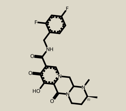 C[C@H]1CCN2C(=O)c3c(O)c(=O)c(C(=O)NCc4ccc(F)cc4F)cn3CC2N1C